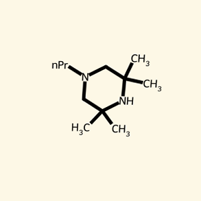 CCCN1CC(C)(C)NC(C)(C)C1